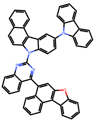 c1ccc2c(c1)ccc1c2c2cc(-n3c4ccccc4c4ccccc43)ccc2n1-c1nc(-c2cc3oc4ccccc4c3c3ccccc23)c2ccccc2n1